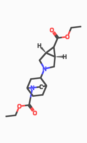 CCOC(=O)C1[C@H]2CN(C3CC4CCC3CN4C(=O)OCC)C[C@@H]12